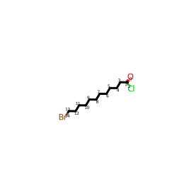 O=C(Cl)CCCCCCCCCCCBr